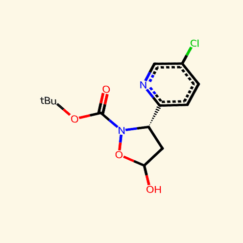 CC(C)(C)OC(=O)N1OC(O)C[C@H]1c1ccc(Cl)cn1